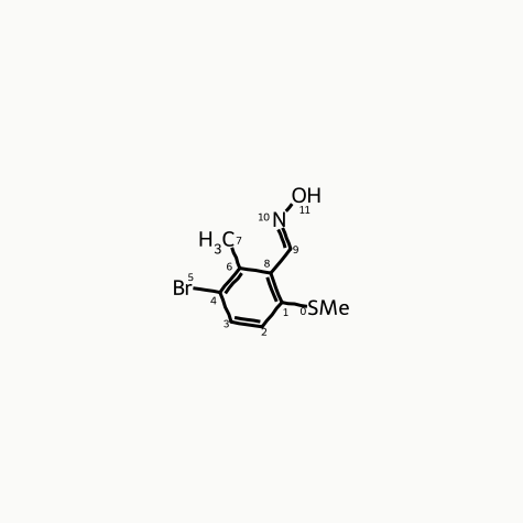 CSc1ccc(Br)c(C)c1/C=N/O